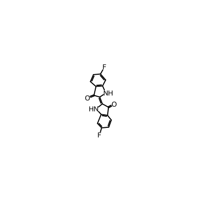 O=C1/C(=C2\Nc3cc(F)ccc3C2=O)Nc2cc(F)ccc21